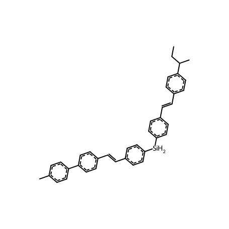 CCC(C)c1ccc(C=Cc2ccc([SiH2]c3ccc(C=Cc4ccc(-c5ccc(C)cc5)cc4)cc3)cc2)cc1